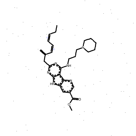 C=C(/C=C\C=C/CC)Cc1nc(NCCCN2CCCCC2)c2c(n1)[nH]c1cc(C(=O)OC)cnc12